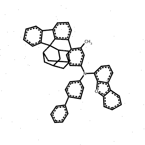 Cc1cc(N(c2ccc(-c3ccccc3)cc2)c2cccc3c2oc2ccccc23)ccc1-c1cccc2c1C1(c3ccccc3-2)C2CC3CC(C2)CC1C3